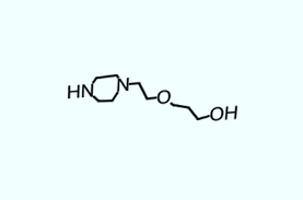 OCCCOCCN1CCNCC1